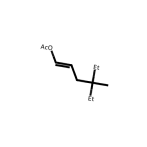 CCC(C)(CC)CC=COC(C)=O